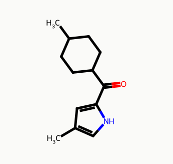 Cc1c[nH]c(C(=O)C2CCC(C)CC2)c1